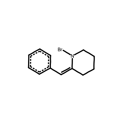 BrN1CCCCC1=Cc1ccccc1